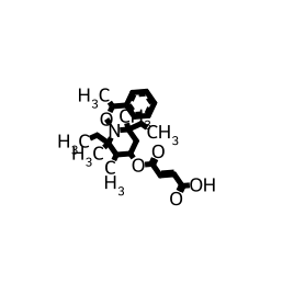 CCC1(C)CC(OC(=O)C=CC(=O)O)C(C)C(C)(CC)N1OC(C)c1ccccc1